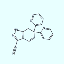 N#Cc1n[nH]c2c1C=CC(c1ccccn1)(c1ccccn1)C2